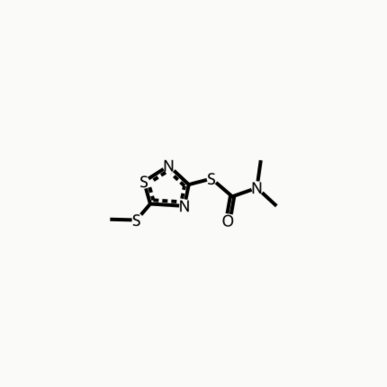 CSc1nc(SC(=O)N(C)C)ns1